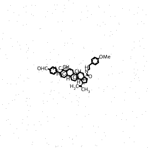 C=C(C)[C@@H]1CC[C@]2(C(=O)NCCc3ccc(OC)cc3)CC[C@]3(C)[C@H](CC[C@@H]4[C@@]5(C)CC=C(c6ccc(C=O)cc6)C(C)(C)[C@@H]5CC[C@]43C)[C@@H]12